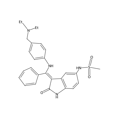 CCN(CC)Cc1ccc(NC(=C2C(=O)Nc3ccc(NS(C)(=O)=O)cc32)c2ccccc2)cc1